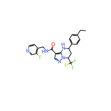 CCc1ccc(C2CC(C(F)(F)F)n3ncc(C(=O)NCc4ccncc4F)c3N2)cc1